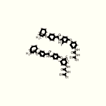 CCC(CC)NC(=O)Nc1ccc(Oc2ccc(NC(=O)c3ccc(OC45CCCC(CC4)N5C)cc3)c(F)c2)cc1.CCC(CC)NC(=O)Nc1ccc(Oc2ccc(NC(=O)c3ccc(OC45CCCC(CC4)N5C)cc3)cc2)c(C)c1